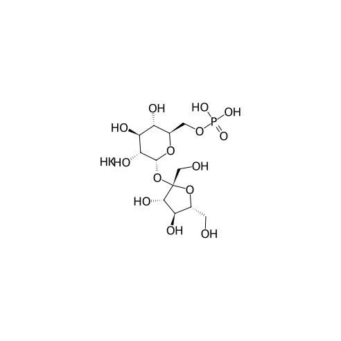 O=P(O)(O)OC[C@H]1O[C@H](O[C@]2(CO)O[C@H](CO)[C@@H](O)[C@@H]2O)[C@H](O)[C@@H](O)[C@@H]1O.[KH]